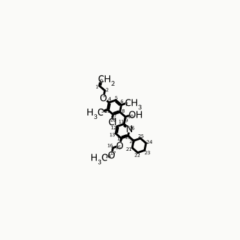 C=CCOc1cc(C)c(C(O)c2ccc(OCOC)c(C3CCCCC3)n2)c(Cl)c1C